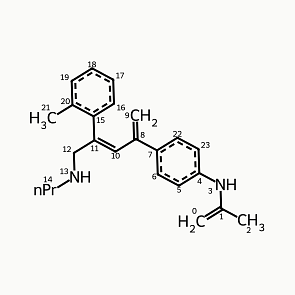 C=C(C)Nc1ccc(C(=C)/C=C(/CNCCC)c2ccccc2C)cc1